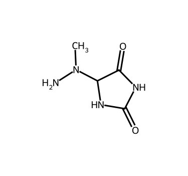 CN(N)C1NC(=O)NC1=O